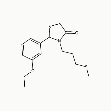 CCOc1cccc(C2SCC(=O)N2CCCSC)c1